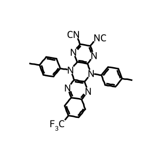 [C-]#[N+]c1nc2c(nc1[N+]#[C-])N(c1ccc(C)cc1)c1nc3cc(C(F)(F)F)ccc3nc1N2c1ccc(C)cc1